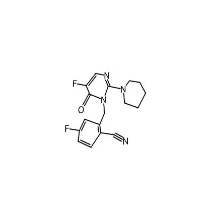 N#Cc1ccc(F)cc1Cn1c(N2CCCCC2)ncc(F)c1=O